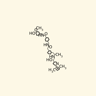 COc1cc(CNC(=O)c2ccc(CNC(=O)Cc3cccc(C[C@@H](C)NC[C@@H](O)c4ccc(-n5c(C)ccc5C)nc4)c3)cc2)ccc1O